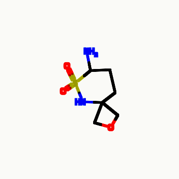 NC1CCC2(COC2)NS1(=O)=O